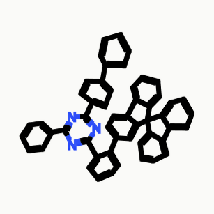 c1ccc(-c2ccc(-c3nc(-c4ccccc4)nc(-c4ccccc4-c4ccc5c(c4)C4(c6ccccc6-c6ccccc64)c4ccccc4-5)n3)cc2)cc1